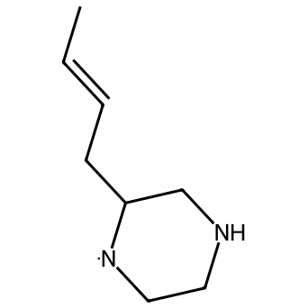 CC=CCC1CNCC[N]1